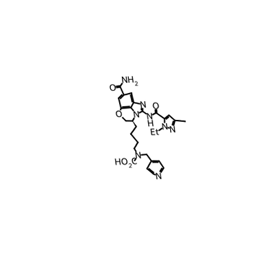 CCn1nc(C)cc1C(=O)Nc1nc2cc(C(N)=O)cc3c2n1[C@@H](CCCCN(Cc1ccncc1)C(=O)O)CO3